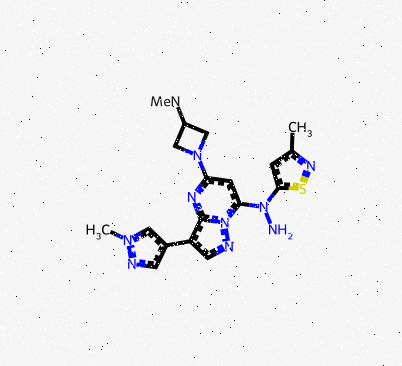 CNC1CN(c2cc(N(N)c3cc(C)ns3)n3ncc(-c4cnn(C)c4)c3n2)C1